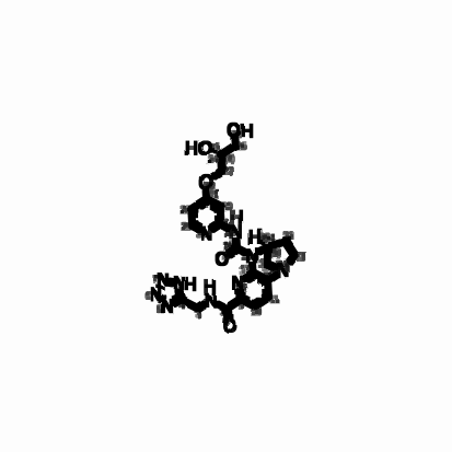 O=C(NCc1nnn[nH]1)c1ccc2c(n1)N(C(=O)Nc1cc(OC[C@H](O)CO)ccn1)[C@H]1CCN2C1